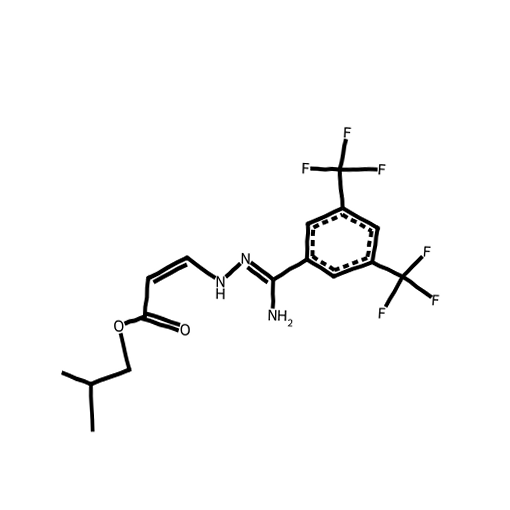 CC(C)COC(=O)/C=C\N/N=C(\N)c1cc(C(F)(F)F)cc(C(F)(F)F)c1